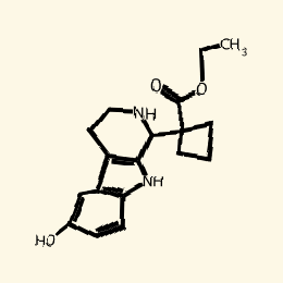 CCOC(=O)C1(C2NCCc3c2[nH]c2ccc(O)cc32)CCC1